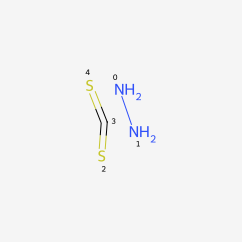 NN.S=C=S